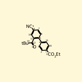 CCOC(=O)c1ccc(-c2ccc(C#N)cc2C(=O)C(C)(C)C)cc1